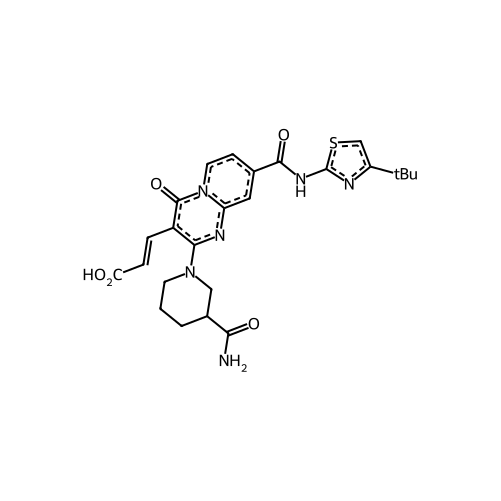 CC(C)(C)c1csc(NC(=O)c2ccn3c(=O)c(C=CC(=O)O)c(N4CCCC(C(N)=O)C4)nc3c2)n1